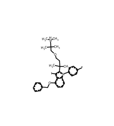 C[SiH](C)C(C)(C)COCCC(C)(C)c1c(I)c2c(OCc3ccccc3)cccc2n1-c1ccc(F)cc1